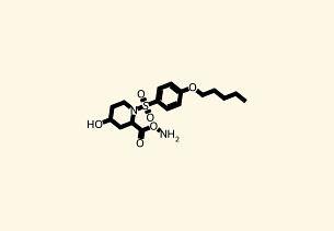 CCCCCOc1ccc(S(=O)(=O)N2CCC(O)CC2C(=O)ON)cc1